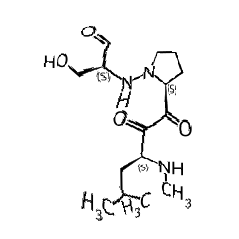 CN[C@@H](CC(C)C)C(=O)C(=O)[C@@H]1CCCN1N[C@H](C=O)CO